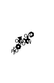 O=C(c1cnccc1CN1C(=O)N(c2ccc(OC(F)(F)F)cc2)C(=O)C12CC2)N1CCCCC1